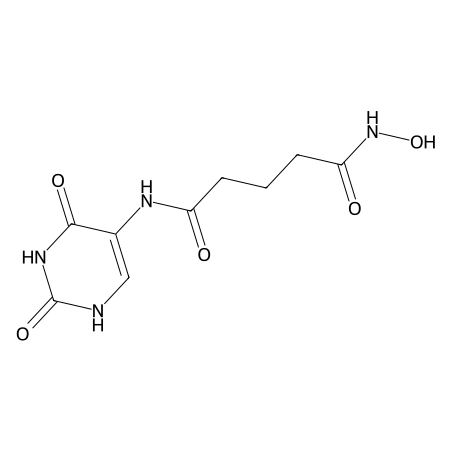 O=C(CCCC(=O)Nc1c[nH]c(=O)[nH]c1=O)NO